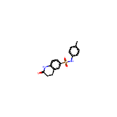 Cc1ccc(NS(=O)(=O)c2ccc3c(c2)CCC(=O)N3)cc1